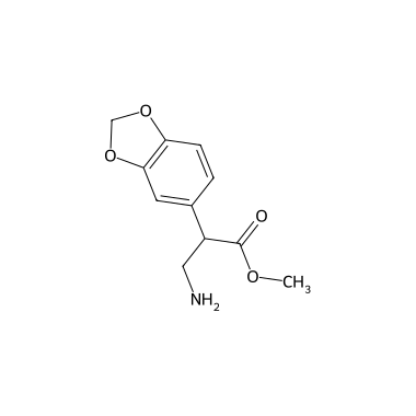 COC(=O)C(CN)c1ccc2c(c1)OCO2